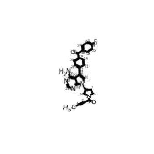 CC#CC(=O)N1CCC(n2cc(-c3ccc(C(=O)c4ccc(F)cc4)cc3)c3c(N)ncnc32)C1